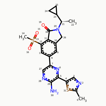 Cc1ncc(-c2nc(-c3cc4c(c(S(C)(=O)=O)c3)C(=O)N([C@@H](C)C3CC3)C4)cnc2N)s1